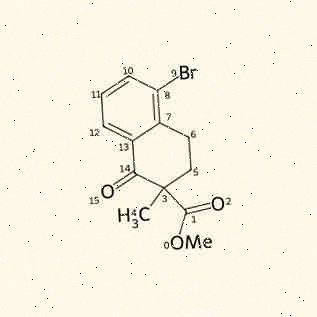 COC(=O)C1(C)CCc2c(Br)cccc2C1=O